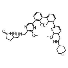 COc1nc(-c2cccc(-c3cccc(-c4cnc(CNCC5CCC(=O)N5)c(OC)n4)c3Cl)c2Cl)ccc1CNC1CCOCC1